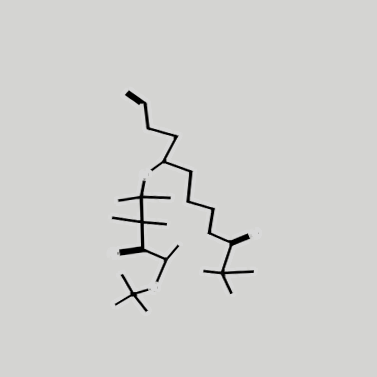 C=CCCC(CCCCC(=O)C(C)(C)C)OC(C)(C)C(C)(C)C(=O)C(C)OC(C)(C)C